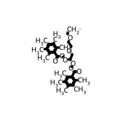 [CH2]COCCOC[C](OOC(=O)c1c(C)c(C)c(C)c(C)c1C)OOC(=O)c1c(C)c(C)c(C)c(C)c1C